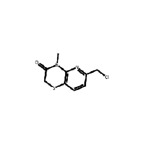 CN1C(=O)CSc2ccc(CCl)nc21